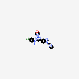 Clc1ccc(Nc2cc(-c3ccc4c(c3)ncn4CCN3CCCC3)nc(N3CCOCC3)n2)cc1